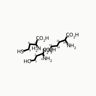 NC(CCO)C(=O)O.NC(CCS)C(=O)O.NCCCC(N)C(=O)O